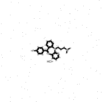 CN(C)CCCN1c2ccccc2C(c2ccc(F)cc2)=Nc2cccnc21.Cl